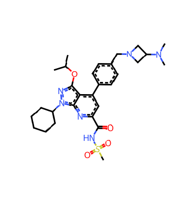 CC(C)Oc1nn(C2CCCCC2)c2nc(C(=O)NS(C)(=O)=O)cc(-c3ccc(CN4CC(N(C)C)C4)cc3)c12